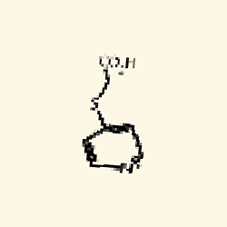 O=C(O)CSC1=CC=[N+]C=C1